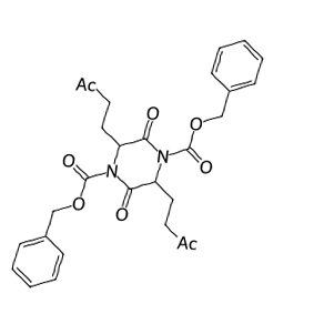 CC(=O)CCC1C(=O)N(C(=O)OCc2ccccc2)C(CCC(C)=O)C(=O)N1C(=O)OCc1ccccc1